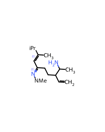 C=CC(CCC(/C=C(\C)C(C)C)=N\NC)C(C)N